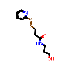 O=C(CCSSc1ccccn1)NCCCO